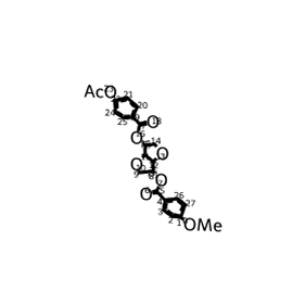 COc1ccc(C(=O)O[C@H]2COC3C2OC[C@@H]3OC(=O)c2ccc(OC(C)=O)cc2)cc1